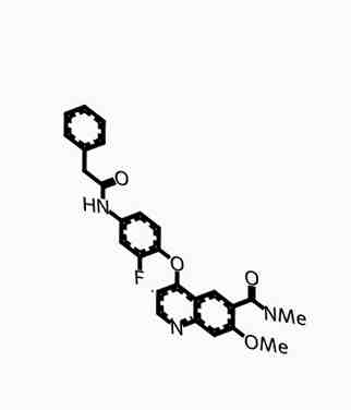 CNC(=O)c1cc2c(Oc3ccc(NC(=O)Cc4ccccc4)cc3F)[c]cnc2cc1OC